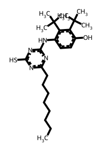 CCCCCCCCc1nc(S)nc(Nc2ccc(O)c(C(C)(C)C)c2C(C)(C)C)n1